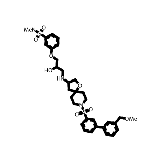 CNS(=O)(=O)c1cccc(OCC(O)CNC2COC3(CCN(S(=O)(=O)c4cccc(-c5cccc(COC)c5)c4)CC3)C2)c1